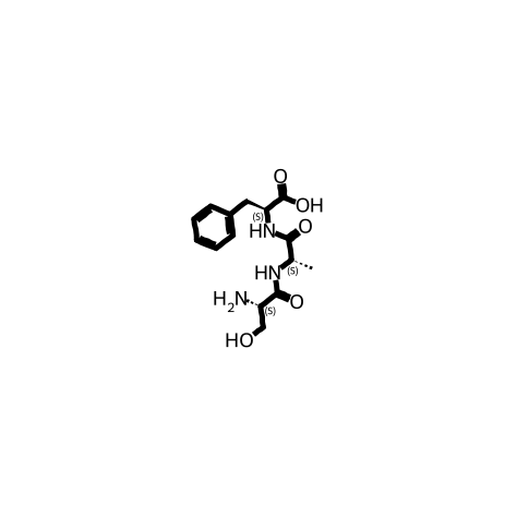 C[C@H](NC(=O)[C@@H](N)CO)C(=O)N[C@@H](Cc1ccccc1)C(=O)O